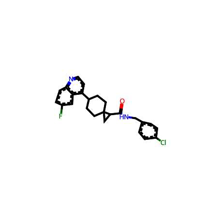 O=C(NCc1ccc(Cl)cc1)C1CC12CCC(c1ccnc3ccc(F)cc13)CC2